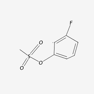 CS(=O)(=O)Oc1[c]c(F)ccc1